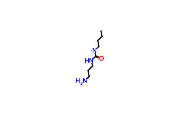 CCCC[N]C(=O)NCCCN